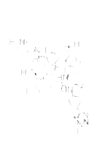 COc1ccc(C[C@H](NC(=O)C2CCC(CN)CC2)C(=O)Nc2ccc(-c3nn[nH]n3)cc2)cc1-c1ccc(C(=O)NCCN)cc1C.Cl